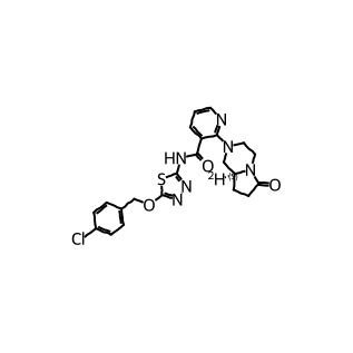 [2H][C@@]12CCC(=O)N1CCN(c1ncccc1C(=O)Nc1nnc(OCc3ccc(Cl)cc3)s1)C2